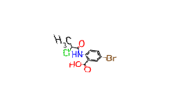 CC(Cl)C(=O)Nc1ccc(Br)cc1C(=O)O